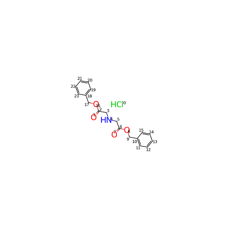 Cl.O=C(CNCC(=O)OCc1ccccc1)OCc1ccccc1